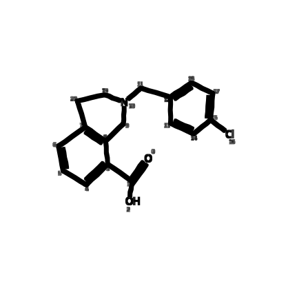 O=C(O)c1cccc2c1CN(Cc1ccc(Cl)cc1)CC2